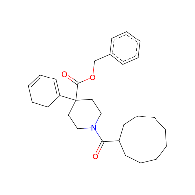 O=C(C1CCCCCCCC1)N1CCC(C(=O)OCc2ccccc2)(C2=CC=CCC2)CC1